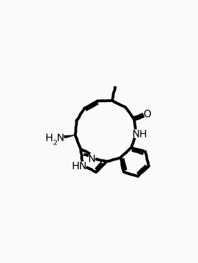 CC1/C=C\C[C@H](N)c2nc(c[nH]2)-c2ccccc2NC(=O)C1